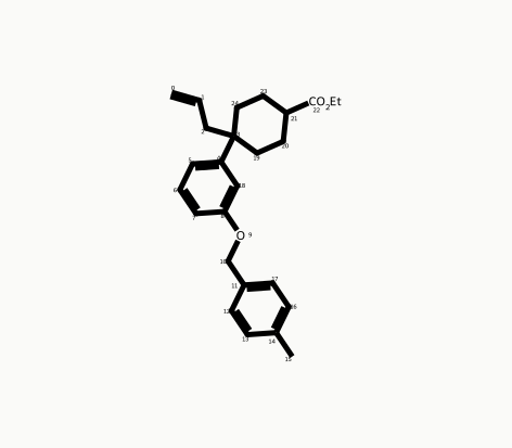 C=CCC1(c2cccc(OCc3ccc(C)cc3)c2)CCC(C(=O)OCC)CC1